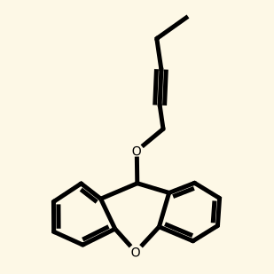 CCC#CCOC1c2ccccc2Oc2ccccc21